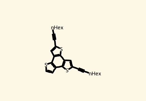 CCCCCCC#Cc1cc2c(s1)c1ccsc1c1cc(C#CCCCCCC)sc12